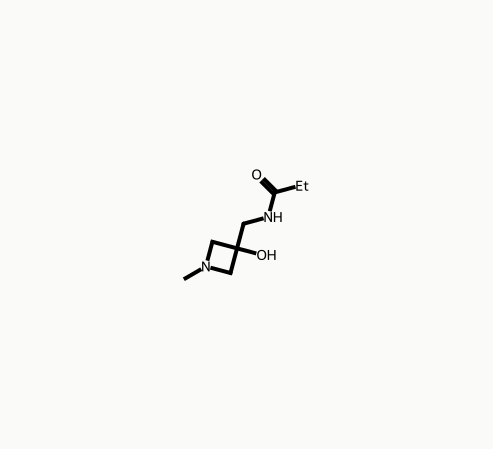 CCC(=O)NCC1(O)CN(C)C1